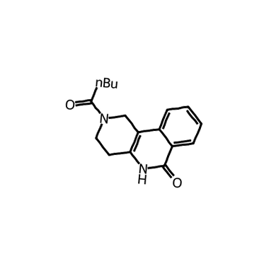 CCCCC(=O)N1CCc2[nH]c(=O)c3ccccc3c2C1